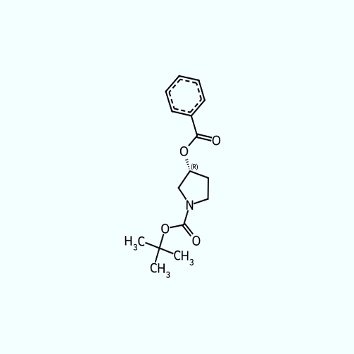 CC(C)(C)OC(=O)N1CC[C@@H](OC(=O)c2ccccc2)C1